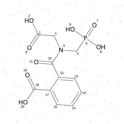 O=C(O)CN(CP(=O)(O)O)C(=O)c1ccccc1C(=O)O